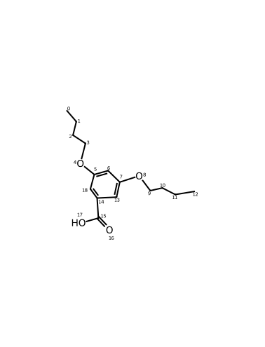 CCCCOc1cc(OCCCC)cc(C(=O)O)c1